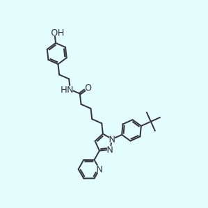 CC(C)(C)c1ccc(-n2nc(-c3ccccn3)cc2CCCCC(=O)NCCc2ccc(O)cc2)cc1